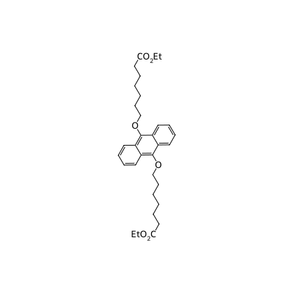 CCOC(=O)CCCCCCOc1c2ccccc2c(OCCCCCCC(=O)OCC)c2ccccc12